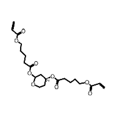 C=CC(=O)OCCCCC(=O)OC1C[C@@H](OC(=O)CCCCOC(=O)C=C)CCO1